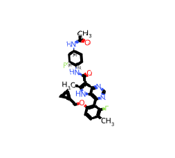 CC(=O)N[C@@H]1CC[C@H](NC(=O)c2c(C)[nH]c3c(-c4c(OCC5CC5)ccc(C)c4F)ncnc23)[C@H](F)C1